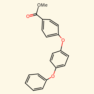 COC(=O)c1ccc(Oc2ccc(Oc3ccccc3)cc2)cc1